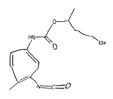 Cc1ccc(NC(=O)OC(C)CCBr)cc1N=C=O